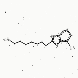 CCCCCCCCCCCCCCCCCc1nc2c(C)cccc2[nH]1